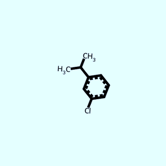 CC(C)c1cccc(Cl)c1